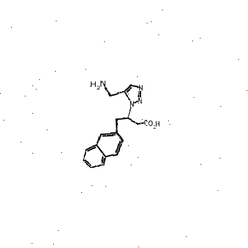 NCc1cnnn1C(CC(=O)O)Cc1ccc2ccccc2c1